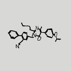 CCCCc1nc(C)c(-c2ccc(OC(C)C)cc2)c(=O)n1Cc1ccc(-c2ccccc2)c(C#N)c1